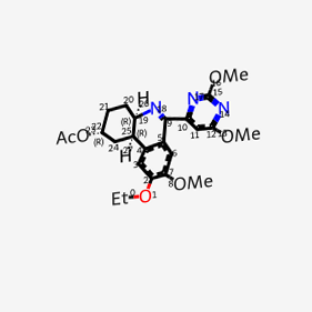 CCOc1cc2c(cc1OC)C(c1cc(OC)nc(OC)n1)=N[C@@H]1CC[C@@H](OC(C)=O)C[C@H]21